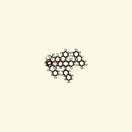 CC1(C)c2ccccc2-c2ccc(-c3ccccc3-c3c4ccc(N5c6ccccc6Cc6ccccc65)cc4c(-c4ccc5ccccc5c4)c4ccc(N5c6ccccc6Cc6ccccc65)cc34)cc21